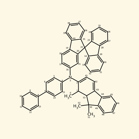 CC1C(N(c2ccc(-c3ccccc3)cc2)c2ccc3c(c2)C2(c4ccccc4-c4ccccc42)c2ccccc2-3)=CC=C2c3ccccc3C(C)(C)C21